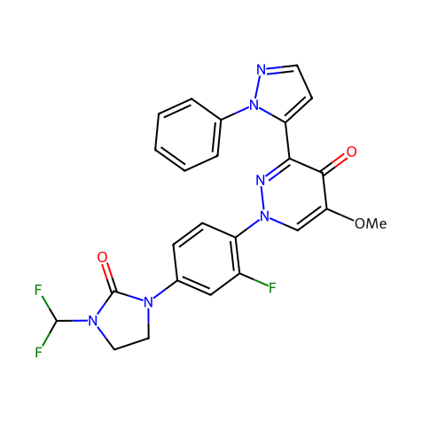 COc1cn(-c2ccc(N3CCN(C(F)F)C3=O)cc2F)nc(-c2ccnn2-c2ccccc2)c1=O